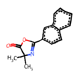 CC1(C)N=C(c2ccc3ccccc3c2)OC1=O